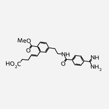 COC(=O)c1ccc(CCNC(=O)c2ccc(C(=N)N)cc2)cc1/C=C/CCC(=O)O